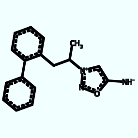 CC(Cc1ccccc1-c1ccccc1)[n+]1cc([NH-])on1